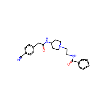 N#Cc1ccc(CC(=O)NC2CCN(CCNC(=O)c3ccccc3)CC2)cc1